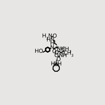 CC(C)[C@H](NC(=O)OC[C@@H]1[C@@H]2CCCCCC[C@@H]21)C(=O)N[C@@H](CCCNC(N)=O)C(=O)Nc1ccc(CO)cc1